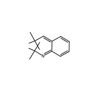 CC(C)(C)/C=C1/C=CC=C/C1=N/C(C)(C)C